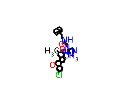 CC1C=c2c(ccc3c2=CC(=O)c2cc(Cl)ccc2-3)C(C)(N2CN(CC(=O)NCCC34CC5CC(CC(C5)C3)C4)c3cncnc32)C1=O